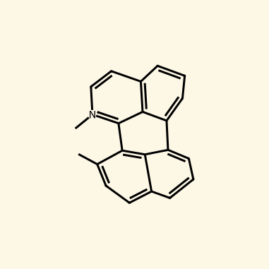 Cc1ccc2cccc3c4cccc5cc[n+](C)c(c1c23)c54